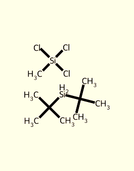 CC(C)(C)[SiH2]C(C)(C)C.C[Si](Cl)(Cl)Cl